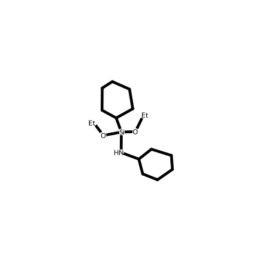 CCO[Si](NC1CCCCC1)(OCC)C1CCCCC1